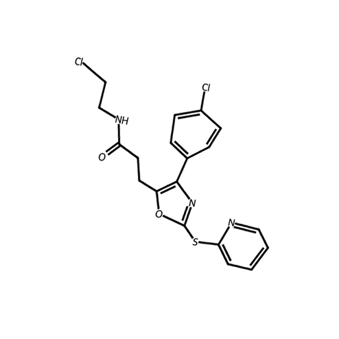 O=C(CCc1oc(Sc2ccccn2)nc1-c1ccc(Cl)cc1)NCCCl